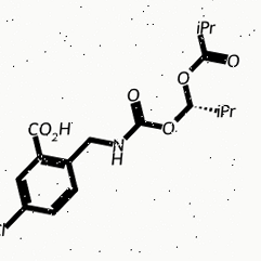 CC(C)C(=O)O[C@@H](OC(=O)NCc1ccc(Cl)cc1C(=O)O)C(C)C